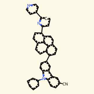 N#Cc1ccc2c(c1)c1cc(-c3ccc4ccc5c(-c6cccc(-c7ccncc7)n6)ccc6ccc3c4c65)ccc1n2-c1ccccc1